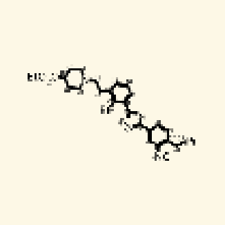 [C-]#[N+]c1cc(-c2nnc(-c3cccc(CCN4CCC(C(=O)OCC)CC4)c3CC)s2)ccc1CC(C)C